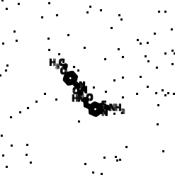 CCOc1ccc(-c2nnc(NC(=O)Cc3ccc4nc(N)sc4c3)o2)cc1